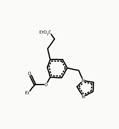 CCOC(=O)CCc1cc(Cn2ccnc2)cc(OC(=O)CC)c1